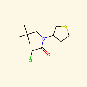 CC(C)(C)CN(C(=O)CCl)C1CCSC1